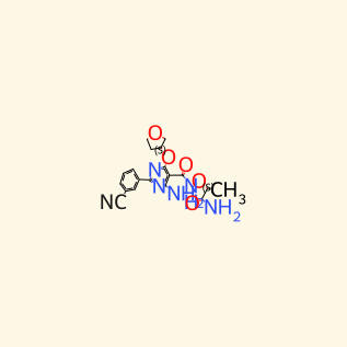 C[C@H](ONC(=O)c1c(N)nc(-c2cccc(C#N)c2)nc1O[C@H]1CCOC1)C(N)=O